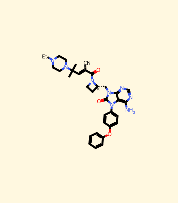 CCN1CCN(C(C)(C)C=C(C#N)C(=O)N2CC[C@H]2Cn2c(=O)n(-c3ccc(Oc4ccccc4)cc3)c3c(N)ncnc32)CC1